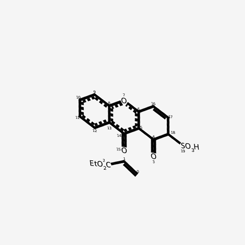 C=CC(=O)OCC.O=C1c2c(oc3ccccc3c2=O)C=CC1S(=O)(=O)O